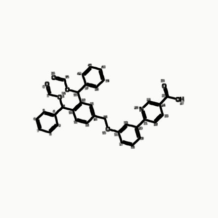 O=COC(c1ccccc1)c1ccc(COc2cccc(-c3ccc(C(=O)O)cn3)c2)cc1C(OC=O)c1ccccc1